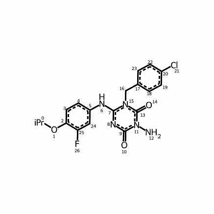 CC(C)Oc1ccc(Nc2nc(=O)n(N)c(=O)n2Cc2ccc(Cl)cc2)cc1F